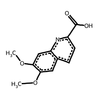 COc1cc2ccc(C(=O)O)nc2cc1OC